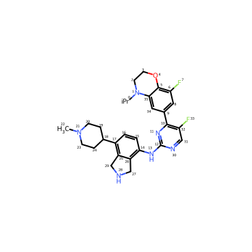 CC(C)N1CCOc2c(F)cc(-c3nc(Nc4ccc(C5CCN(C)CC5)c5c4CNC5)ncc3F)cc21